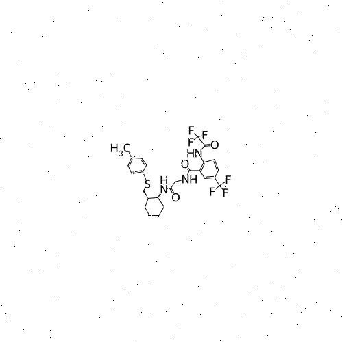 Cc1ccc(SC[C@@H]2CCCC[C@@H]2NC(=O)CNC(=O)c2cc(C(F)(F)F)ccc2NC(=O)C(F)(F)F)cc1